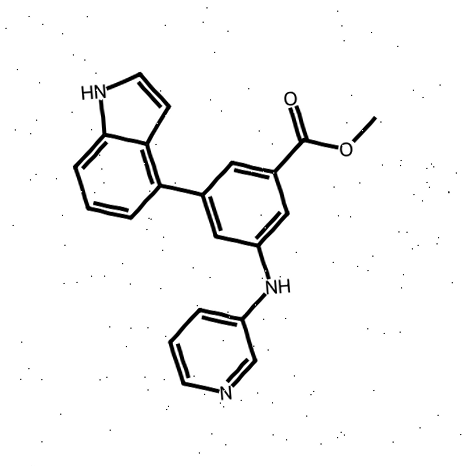 COC(=O)c1cc(Nc2cccnc2)cc(-c2cccc3[nH]ccc23)c1